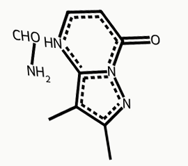 Cc1nn2c(=O)cc[nH]c2c1C.NC=O